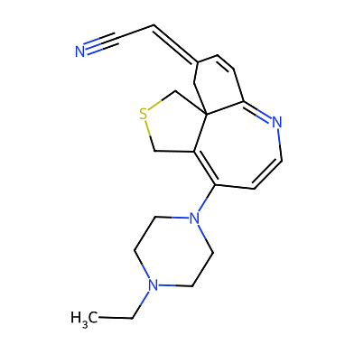 CCN1CCN(C2=C3CSCC34C/C(=C\C#N)C=CC4=NC=C2)CC1